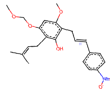 COCOc1cc(OC)c(C/C=C/c2ccc([N+](=O)[O-])cc2)c(O)c1CC=C(C)C